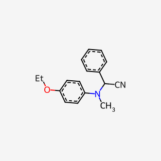 CCOc1ccc(N(C)C(C#N)c2ccccc2)cc1